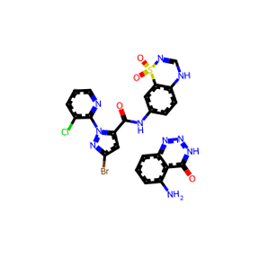 Nc1cccc2nn[nH]c(=O)c12.O=C(Nc1ccc2c(c1)S(=O)(=O)N=CN2)c1cc(Br)nn1-c1ncccc1Cl